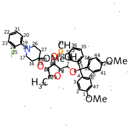 COc1ccc(C(OC[C@H]2O[C@@H](C)[C@H](OC3(OC)CCN(c4ccccc4F)CC3)[C@@H]2OP(C)C)(c2ccccc2)c2ccc(OC)cc2)cc1